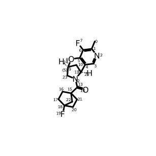 Cc1ncc2c(c1F)O[C@H]1C[C@@H]2N(C(=O)C23CCC(F)(CC2)C3)C1